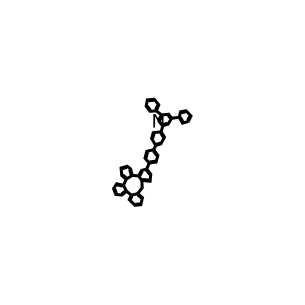 c1ccc(-c2cc(-c3ccccc3)nc(-c3ccc(-c4ccc(-c5ccc6c(c5)-c5ccccc5-c5ccccc5-c5ccccc5C6)cc4)cc3)c2)cc1